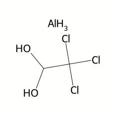 OC(O)C(Cl)(Cl)Cl.[AlH3]